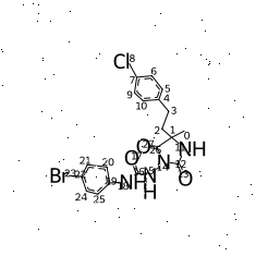 CC1(CCc2ccc(Cl)cc2)NC(=O)N(NC(=O)Nc2ccc(Br)cc2)C1=O